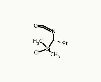 CC[C@@H](N=C=O)[Si](C)(C)Cl